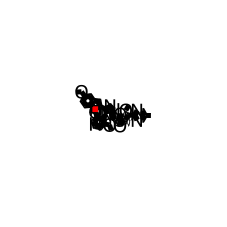 COc1ccc2[nH]c(-c3nnc(NS(=O)(=O)[C@@H](C)[C@H](OC)c4ncc(C)cn4)n3-c3c(OC)cccc3OC)cc2c1